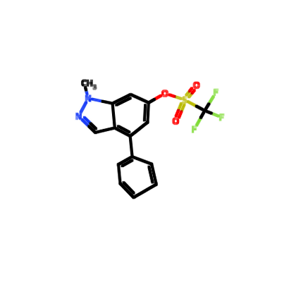 Cn1ncc2c(-c3ccccc3)cc(OS(=O)(=O)C(F)(F)F)cc21